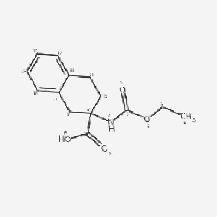 CCOC(=O)NC1(C(=O)O)CCc2ccccc2C1